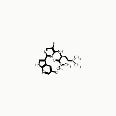 CN(C)CC[C@H](Nc1nc(-c2c[nH]c3ncc(Cl)cc23)ncc1F)C(=O)N(C)C